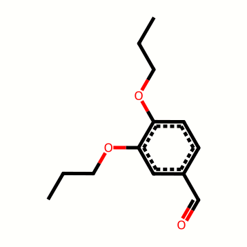 CCCOc1ccc(C=O)cc1OCCC